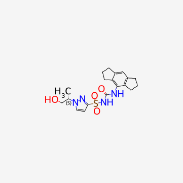 C[C@@H](CO)n1ccc(S(=O)(=O)NC(=O)Nc2c3c(cc4c2CCC4)CCC3)n1